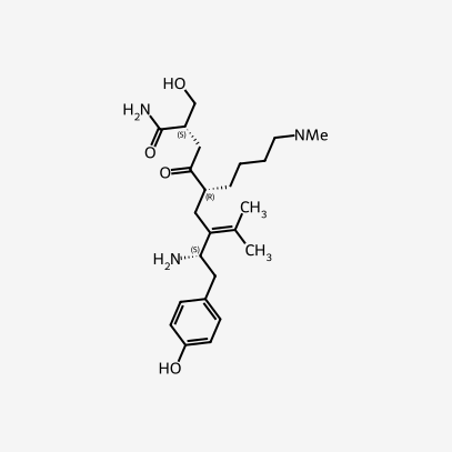 CNCCCC[C@H](CC(=C(C)C)[C@@H](N)Cc1ccc(O)cc1)C(=O)C[C@@H](CO)C(N)=O